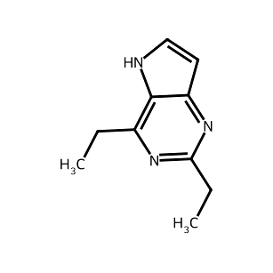 CCc1nc(CC)c2[nH]ccc2n1